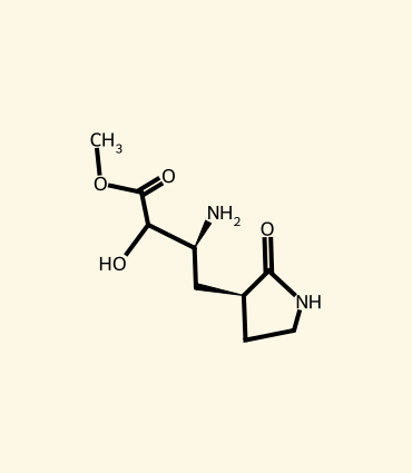 COC(=O)C(O)[C@@H](N)C[C@@H]1CCNC1=O